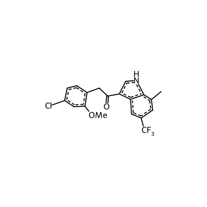 COc1cc(Cl)ccc1CC(=O)c1c[nH]c2c(C)cc(C(F)(F)F)cc12